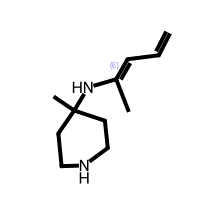 C=C/C=C(\C)NC1(C)CCNCC1